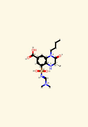 CCCCN1C(=O)[C@H](C)Nc2c1cc(C(=O)O)cc2S(=O)(=O)N=CN(C)C